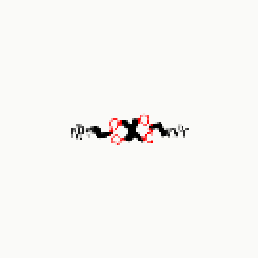 CCCC=CC1OCC2(CO1)COC(C=CCCC)OC2